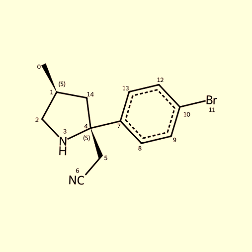 C[C@@H]1CN[C@@](CC#N)(c2ccc(Br)cc2)C1